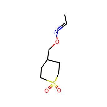 CC=NOCC1CCS(=O)(=O)CC1